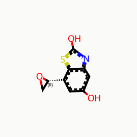 Oc1cc([C@@H]2CO2)c2sc(O)nc2c1